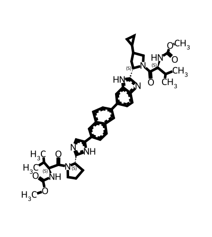 COC(=O)N[C@H](C(=O)N1CCC[C@H]1c1ncc(-c2ccc3cc(-c4ccc5nc([C@@H]6CC(C7CC7)CN6C(=O)[C@@H](NC(=O)OC)C(C)C)[nH]c5c4)ccc3c2)[nH]1)C(C)C